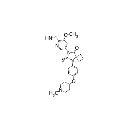 COc1cc(N2C(=O)C3(CCC3)N(c3ccc(OC4CCN(C)CC4)cc3)C2=S)cnc1C=N